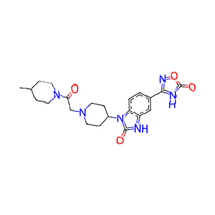 CC1CCN(C(=O)CN2CCC(n3c(=O)[nH]c4cc(-c5noc(=O)[nH]5)ccc43)CC2)CC1